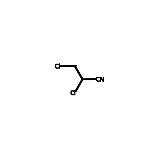 N#CC(Cl)[CH]Cl